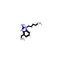 CCCCCn1c(N)nc2c(CC)cccc21